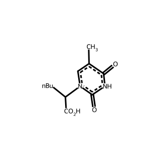 CCCCC(C(=O)O)n1cc(C)c(=O)[nH]c1=O